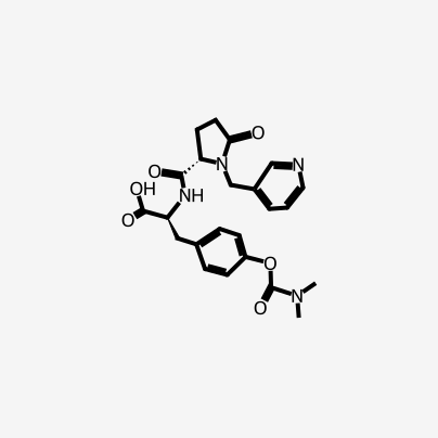 CN(C)C(=O)Oc1ccc(C[C@H](NC(=O)[C@@H]2CCC(=O)N2Cc2cccnc2)C(=O)O)cc1